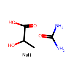 CC(O)C(=O)O.NC(N)=O.[NaH]